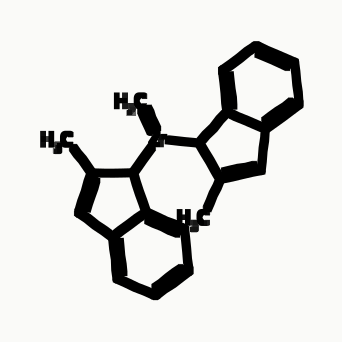 [CH2]=[Zr]([CH]1C(C)=Cc2ccccc21)[CH]1C(C)=Cc2ccccc21